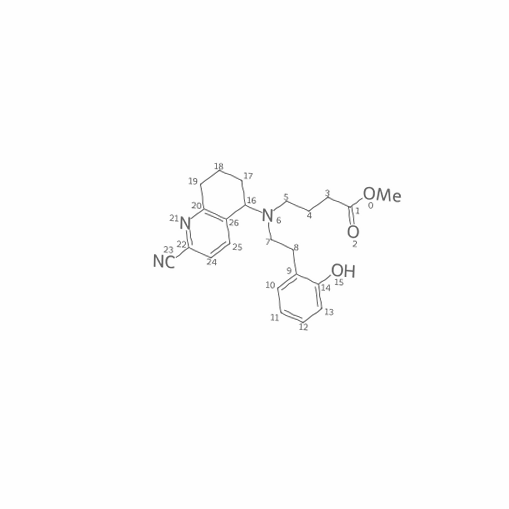 COC(=O)CCCN(CCc1ccccc1O)C1CCCc2nc(C#N)ccc21